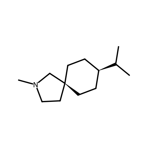 CC(C)[C@H]1CC[C@]2(CCN(C)C2)CC1